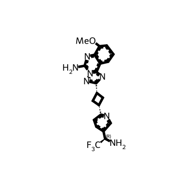 COc1cccc2c1nc(N)n1nc([C@H]3C[C@@H](c4ccc([C@@H](N)C(F)(F)F)cn4)C3)nc21